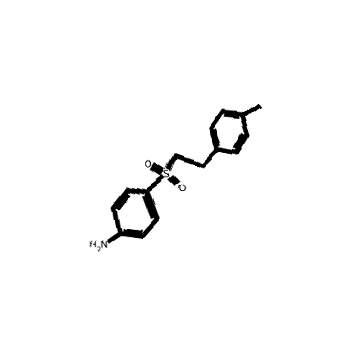 Cc1ccc(CCS(=O)(=O)c2ccc(N)cc2)cc1